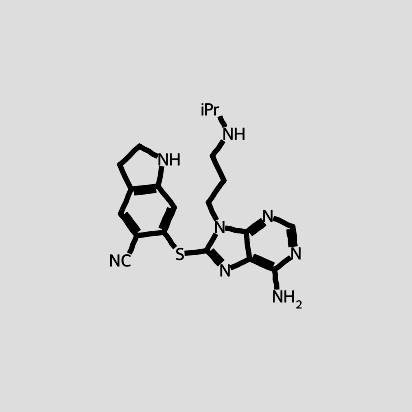 CC(C)NCCCn1c(Sc2cc3c(cc2C#N)CCN3)nc2c(N)ncnc21